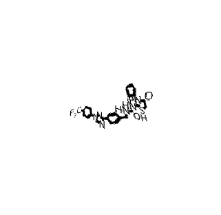 CC(C)c1ccccc1N1C(=O)C[SH]=C1NC(=O)NCc1ccc(-c2ncn(-c3ccc(C(F)(F)F)cc3)n2)cc1